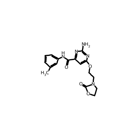 Cc1cccc(NC(=O)c2cc(OCCN3CCOC3=O)nc(N)n2)c1